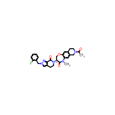 CN1C(=O)[C@@H](N2CCc3cn(Cc4ccccc4F)nc3C2=O)COc2cc3c(cc21)CN(C(=O)C(F)(F)F)CC3